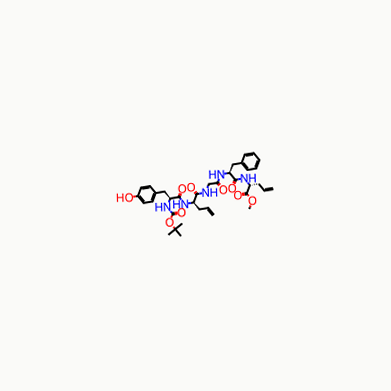 C=CC[C@@H](NC(=O)[C@H](Cc1ccc(O)cc1)NC(=O)OC(C)(C)C)C(=O)NCC(=O)N[C@@H](Cc1ccccc1)C(=O)N[C@H](CC=C)C(=O)OC